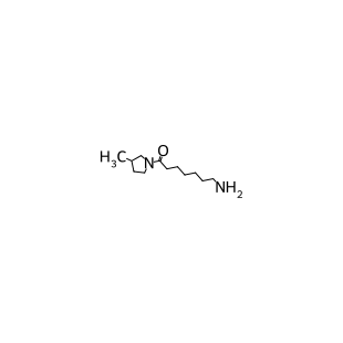 CC1CCN(C(=O)CCCCCCN)C1